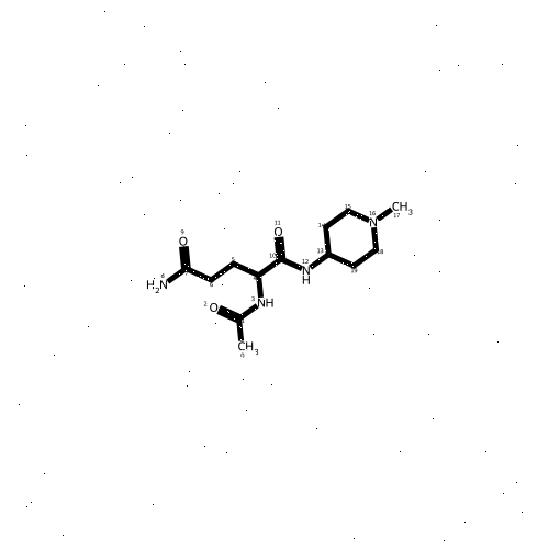 CC(=O)NC(CCC(N)=O)C(=O)NC1CCN(C)CC1